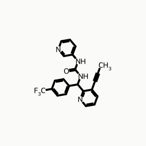 CC#Cc1cccnc1C(NC(=O)Nc1cccnc1)c1ccc(C(F)(F)F)cc1